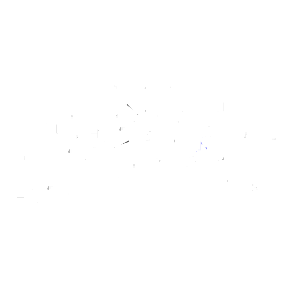 C[C@@H]([C@H]1CC[C@H]2[C@@H]3CC[C@@H]4C[C@](C)(O)CC[C@@H]4[C@H]3CC[C@]12C)N(C)c1ccccc1